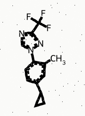 Cc1cc(C2CC2)ccc1-n1cnc(C(F)(F)F)n1